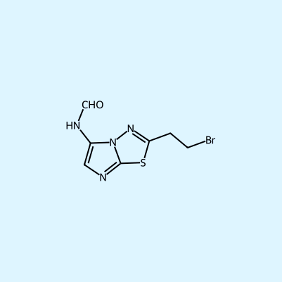 O=CNc1cnc2sc(CCBr)nn12